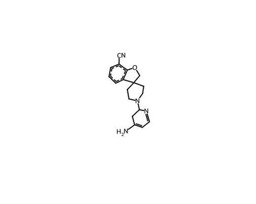 N#Cc1cccc2c1OCC21CCN(C2CC(N)=CC=N2)CC1